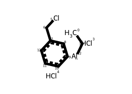 C[CH2][Al].Cl.Cl.ClCc1ccccc1